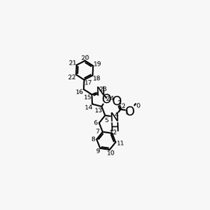 COC(=O)NC(Cc1ccccc1)C1CC(Cc2ccccc2)=NO1